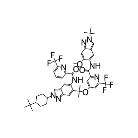 COc1cc2nn(C(C)(C)C)cc2cc1NC(=O)c1cc(OC(C)(C)c2cc3nn(C4CCC(C(C)(C)C)CC4)cc3cc2NC(=O)c2cccc(C(F)(F)F)n2)cc(C(F)(F)F)n1